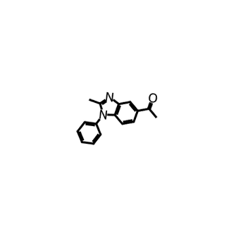 CC(=O)c1ccc2c(c1)nc(C)n2-c1ccccc1